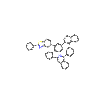 c1ccc(-c2cc3ccccc3c(-c3cccc(-c4c(-c5cccc(-c6ccc7sc(-c8ccccc8)nc7c6)c5)ccc5ccccc45)c3)n2)cc1